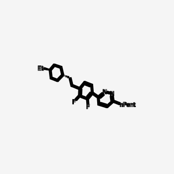 CCCCCc1ccc(-c2ccc(CC[C@H]3CC[C@H](CC)CC3)c(F)c2F)nn1